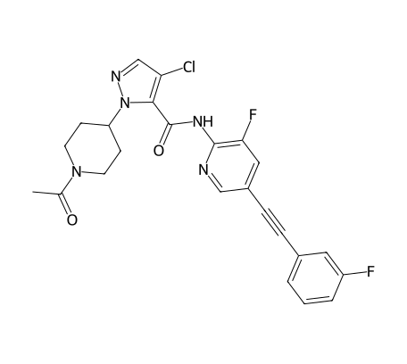 CC(=O)N1CCC(n2ncc(Cl)c2C(=O)Nc2ncc(C#Cc3cccc(F)c3)cc2F)CC1